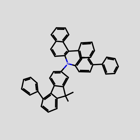 CC1(C)c2cc(N(c3ccc(-c4ccccc4)cc3)c3ccc4ccccc4c3-c3ccccc3)ccc2-c2c(-c3ccccc3)cccc21